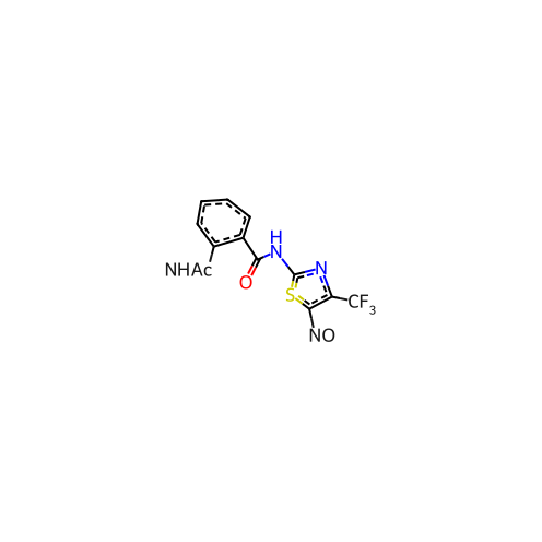 CC(=O)Nc1ccccc1C(=O)Nc1nc(C(F)(F)F)c(N=O)s1